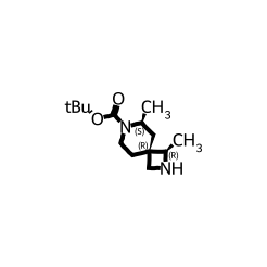 C[C@H]1C[C@]2(CCN1C(=O)OC(C)(C)C)CN[C@@H]2C